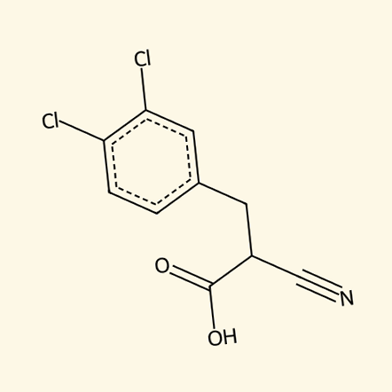 N#CC(Cc1ccc(Cl)c(Cl)c1)C(=O)O